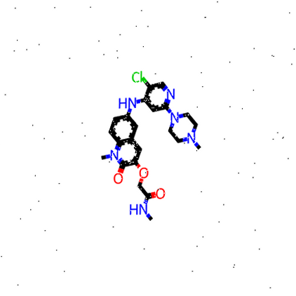 CNC(=O)COc1cc2cc(Nc3cc(N4CCN(C)CC4)ncc3Cl)ccc2n(C)c1=O